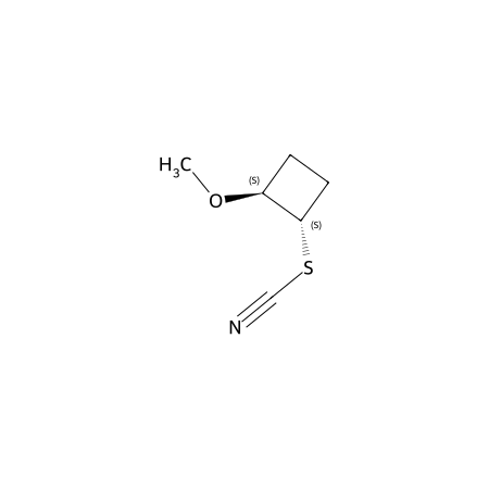 CO[C@H]1CC[C@@H]1SC#N